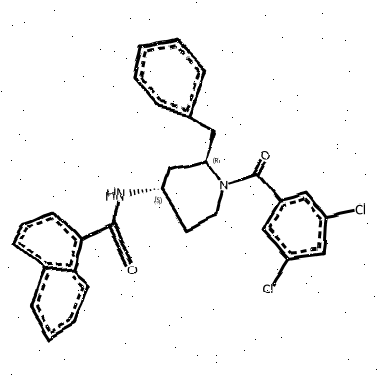 O=C(N[C@H]1CCN(C(=O)c2cc(Cl)cc(Cl)c2)[C@H](Cc2ccccc2)C1)c1cccc2ccccc12